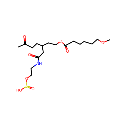 COCCCCCC(=O)OCCC(CCC(C)=O)CC(=O)NCCOS(=O)O